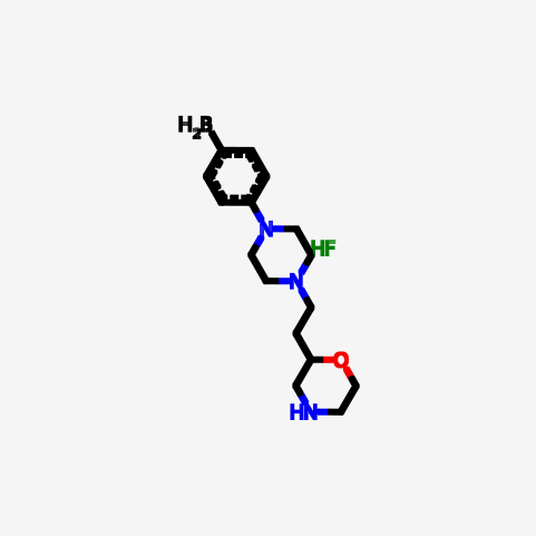 Bc1ccc(N2CCN(CCC3CNCCO3)CC2)cc1.F